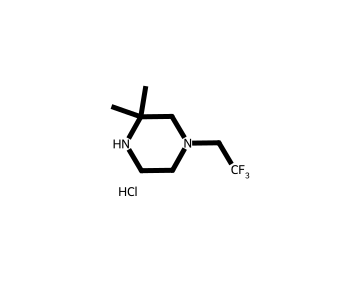 CC1(C)CN(CC(F)(F)F)CCN1.Cl